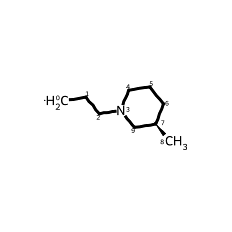 [CH2]CCN1CCC[C@@H](C)C1